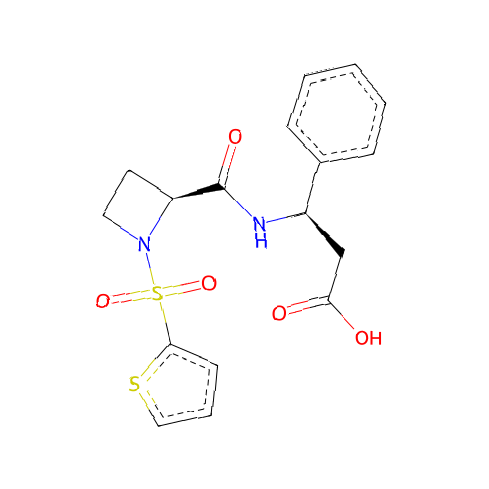 O=C(O)C[C@@H](NC(=O)[C@@H]1CCN1S(=O)(=O)c1cccs1)c1ccccc1